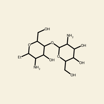 CCC1OC(CO)C(OC2OC(CO)C(O)C(O)C2N)C(O)C1N